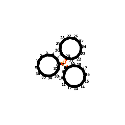 C1CCCCCC(P(C2CCCCCCCCCCC2)C2CCCCCCCCCCC2)CCCCC1